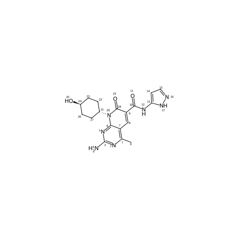 Cc1nc(N)nc2c1cc(C(=O)Nc1ccn[nH]1)c(=O)n2[C@H]1CC[C@H](O)CC1